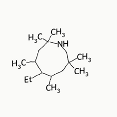 CCC1C(C)CC(C)(C)CNC(C)(C)CC1C